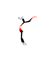 C=CCOC(C)CO